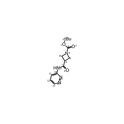 CC(C)(C)OC(=O)N1CC(C(=O)Nc2cccnn2)C1